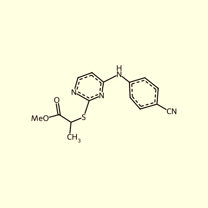 COC(=O)C(C)Sc1nccc(Nc2ccc(C#N)cc2)n1